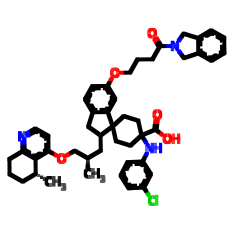 C[C@@H](COc1ccnc2c1[C@H](C)CCC2)CC1Cc2ccc(OCCCC(=O)N3Cc4ccccc4C3)cc2C12CCC(Nc1cccc(Cl)c1)(C(=O)O)CC2